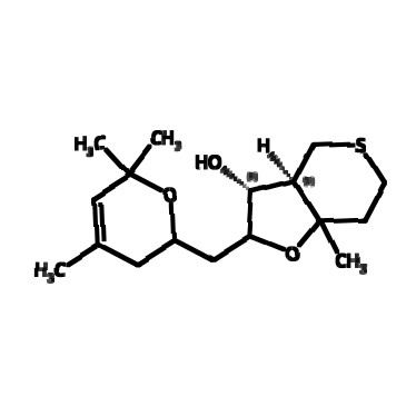 CC1=CC(C)(C)OC(CC2OC3(C)CCSC[C@@H]3[C@H]2O)C1